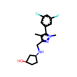 Cc1c(CN[C@H]2CC[C@@H](O)C2)nn(C)c1-c1cc(F)cc(F)c1